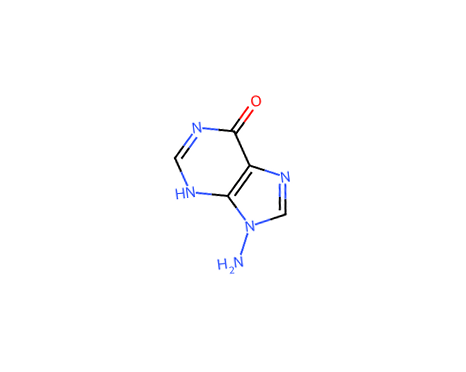 Nn1cnc2c(=O)nc[nH]c21